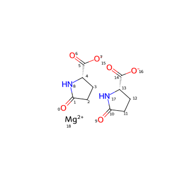 O=C1CC[C@@H](C(=O)[O-])N1.O=C1CC[C@@H](C(=O)[O-])N1.[Mg+2]